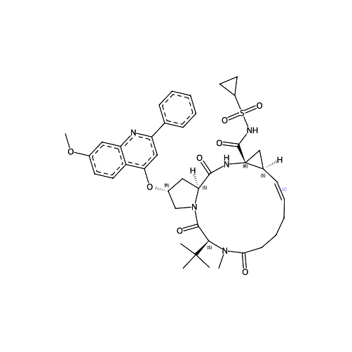 COc1ccc2c(O[C@@H]3C[C@H]4C(=O)N[C@]5(C(=O)NS(=O)(=O)C6CC6)C[C@H]5/C=C\CCCC(=O)N(C)[C@@H](C(C)(C)C)C(=O)N4C3)cc(-c3ccccc3)nc2c1